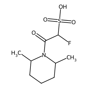 CC1CCCC(C)N1C(=O)C(F)S(=O)(=O)O